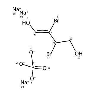 O=P([O-])([O-])[O-].OC=C(Br)C(Br)CO.[Na+].[Na+].[Na+]